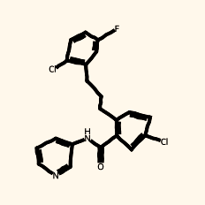 O=C(Nc1cccnc1)c1cc(Cl)ccc1CCCc1cc(F)ccc1Cl